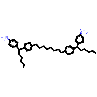 CCCCCC(c1ccc(N)cc1)c1ccc(CCCCCCCCc2ccc(C(CCCCC)c3ccc(N)cc3)cc2)cc1